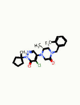 C[C@@H]1CN(Cc2ccccc2C(F)(F)F)C(=O)CN1c1cnn(C2(C)CCCC2)c(=O)c1Cl